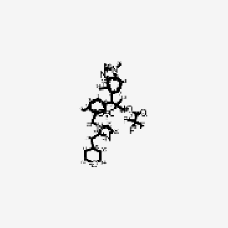 Cc1ccc(C(c2ccc3c(nnn3C)c2C)C(C)(C)C(=O)O)cc1Cn1ccnc1CC1CCOCC1.O=C(O)C(F)(F)F